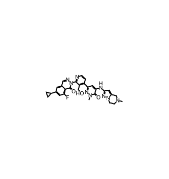 CN1CCn2nc(Nc3cc(-c4ccnc(-n5ncc6cc(C7CC7)cc(F)c6c5=O)c4CO)nn(C)c3=O)cc2C1